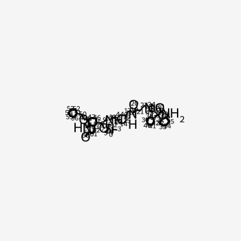 CC(C)(C)[Si](C)(C)O[C@H](CNCC1CCCC(CNC(=O)CCN2CC[C@@H](C(C(N)=O)(c3ccccc3)c3ccccc3)C2)C1)c1ccc(OCc2ccccc2)c2[nH]c(=O)ccc12